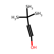 OC#CC([SiH3])([SiH3])[SiH3]